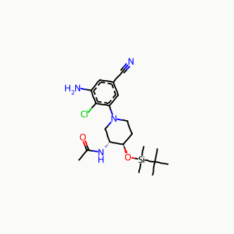 CC(=O)N[C@@H]1CN(c2cc(C#N)cc(N)c2Cl)CC[C@H]1O[Si](C)(C)C(C)(C)C